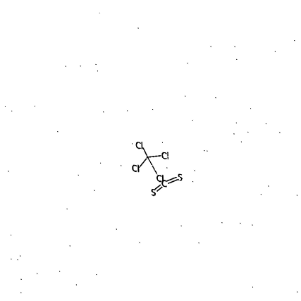 ClC(Cl)(Cl)Cl.S=C=S